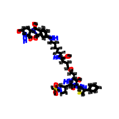 CS(=O)(=O)N1CCC(C(=O)N[C@@H](CCOCCCC(=O)NCCCCCCNc2ccc3c(c2)C(=O)N(C2CCC(=O)NC2=O)C3=O)C(=O)NC2NC(c3ccccc3)CS2)C1